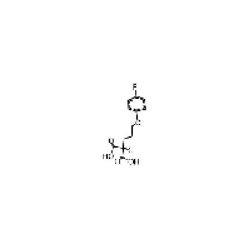 O=C(O)C(Cl)(CCCOc1ccc(F)cc1)C(=O)O